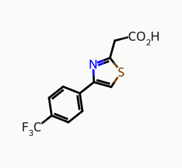 O=C(O)Cc1nc(-c2ccc(C(F)(F)F)cc2)cs1